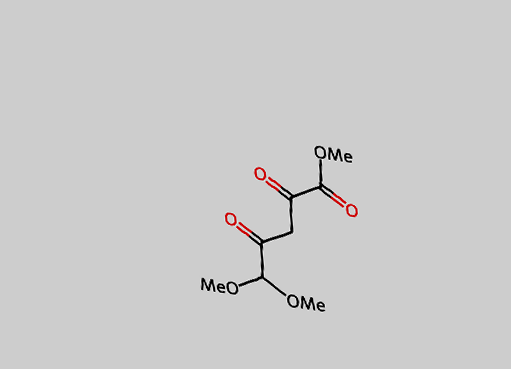 COC(=O)C(=O)CC(=O)C(OC)OC